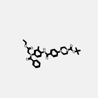 CCOC(=O)CN(C(=O)c1ccccc1)c1ccc(NC(=O)c2ccc(N3CCN(C(=O)OC(C)(C)C)CC3)cc2)c(C)c1